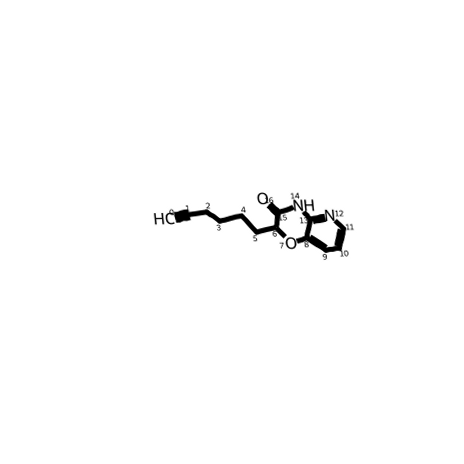 C#CCCCCC1Oc2cccnc2NC1=O